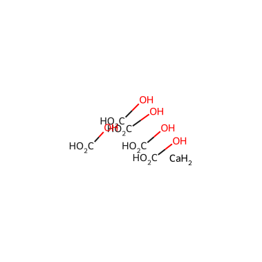 O=C(O)O.O=C(O)O.O=C(O)O.O=C(O)O.O=C(O)O.[CaH2]